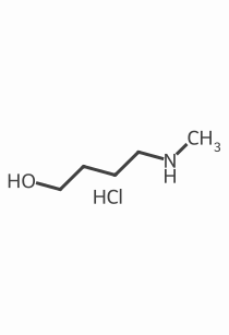 CNCCCCO.Cl